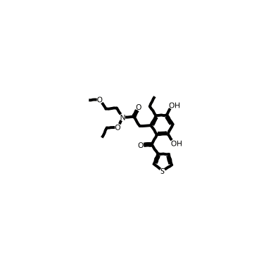 CCON(CCOC)C(=O)Cc1c(CC)c(O)cc(O)c1C(=O)c1ccsc1